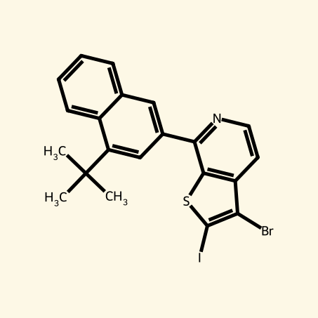 CC(C)(C)c1cc(-c2nccc3c(Br)c(I)sc23)cc2ccccc12